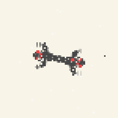 CC(C)c1cccc(C(C)C)c1N1C(=O)c2cc(Oc3ccc(O)cc3)c3c4ccc5c6c(ccc(c7c(Oc8ccc(O)cc8)cc(c2c37)C1=O)c64)-c1cc2c(cc1-5)/C=C\c1cc3c(cc1CC2)C1=CCC2c4c(ccc-3c41)-c1c(Oc3ccc(O)cc3)cc3c4c1[C@@H]2[C@@H](Oc1ccc(O)cc1)CC4C(=O)N(c1c(C(C)C)cccc1C(C)C)C3=O